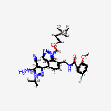 COc1ccc(F)cc1C(=O)NCc1ccc(-c2nn(C(C)C)c(N)c2C#N)c2cnn(COCC[Si](C)(C)C)c12